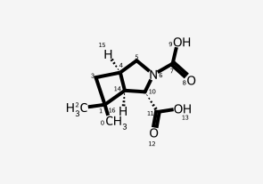 CC1(C)C[C@H]2CN(C(=O)O)[C@H](C(=O)O)[C@H]21